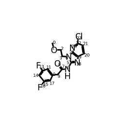 COCCn1c(NC(=O)Cc2cc(F)cc(F)c2)nc2ccc(Cl)nc21